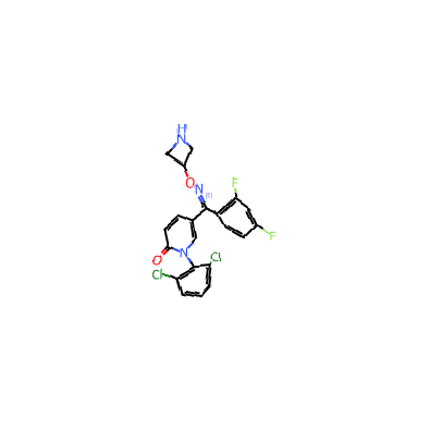 O=c1ccc(/C(=N\OC2CNC2)c2ccc(F)cc2F)cn1-c1c(Cl)cccc1Cl